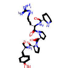 N=C(N)NCCC[C@H](NC(=O)[C@@H]1CCCN1)C(=O)N1CCC[C@H]1C(=O)N1CCC[C@H]1C(=O)N[C@H]([C]=O)Cc1ccc(O)cc1